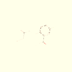 C=C(CBr)COc1ccc(F)cc1C(C)=O